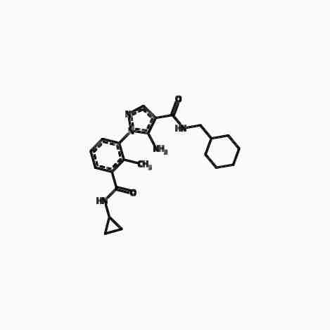 Cc1c(C(=O)NC2CC2)cccc1-n1ncc(C(=O)NCC2CCCCC2)c1N